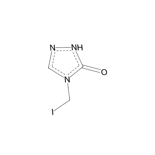 O=c1[nH]ncn1CI